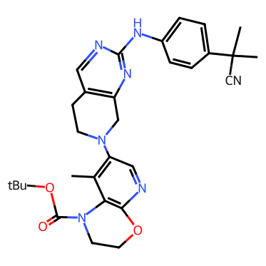 Cc1c(N2CCc3cnc(Nc4ccc(C(C)(C)C#N)cc4)nc3C2)cnc2c1N(C(=O)OC(C)(C)C)CCO2